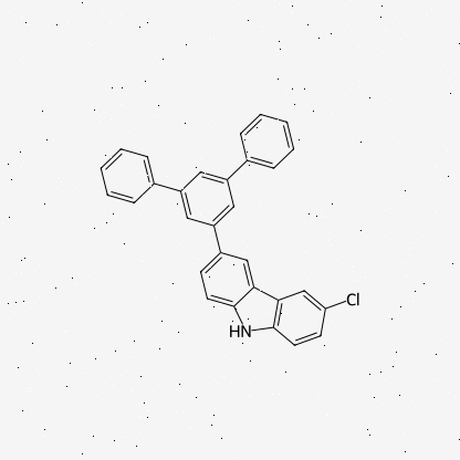 Clc1ccc2[nH]c3ccc(-c4cc(-c5ccccc5)cc(-c5ccccc5)c4)cc3c2c1